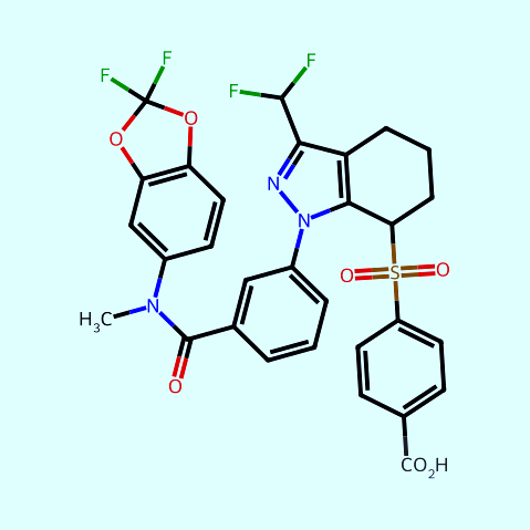 CN(C(=O)c1cccc(-n2nc(C(F)F)c3c2C(S(=O)(=O)c2ccc(C(=O)O)cc2)CCC3)c1)c1ccc2c(c1)OC(F)(F)O2